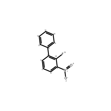 O=[N+]([O-])c1cccc(-c2ccccc2)c1F